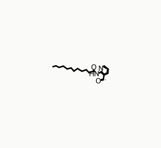 CCCCCCCCCCCC(=O)Nc1ncccc1[C]=O